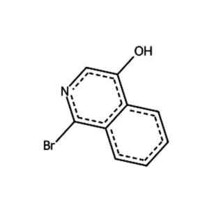 Oc1cnc(Br)c2ccccc12